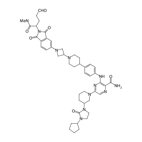 CNC(=O)C(CCC=O)N1C(=O)c2ccc(N3CC(N4CCC(c5ccc(Nc6nc(N7CCCC(N8CCN(C9CCCC9)C8=O)C7)cnc6C(N)=O)cc5)CC4)C3)cc2C1=O